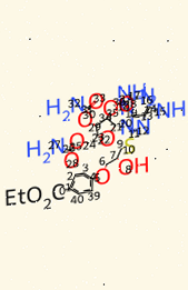 CCOC(=O)c1ccc(OCC(O)CSc2nc3c(N)ncnc3n2[C@@H]2O[C@H](COC(N)=O)[C@@H](OC(N)=O)[C@H]2OC(N)=O)cc1